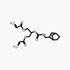 C=CC(=O)OCC(COC(=O)C=C)OC(=O)NCC1CC2CCC1C2